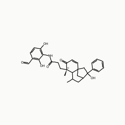 CC1CC2CC3(C=CC(=O)[C@@](C)(CCC(=O)Nc4c(O)ccc(C=O)c4O)C13)CC2(O)c1ccccc1